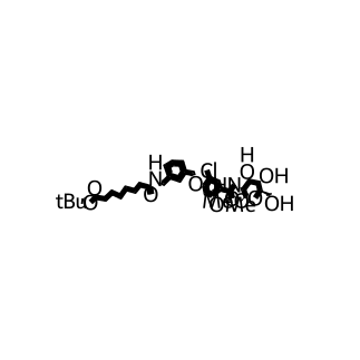 COc1cc(OCc2cccc(CNC(=O)CCCCCCC(=O)OC(C)(C)C)c2)c(Cl)cc1C(=O)N[C@H]1[C@@H](OC)O[C@H](CO)[C@@H](O)[C@@H]1O